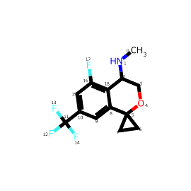 CNC1COC2(CC2)c2cc(C(F)(F)F)cc(F)c21